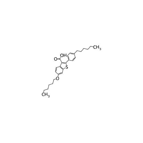 CCCCCCOc1ccc2c(C(=O)O)c(-c3ccc(CCCCCC)cc3)sc2c1